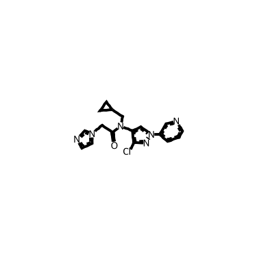 O=C(Cn1ccnc1)N(CC1CC1)c1cn(-c2cccnc2)nc1Cl